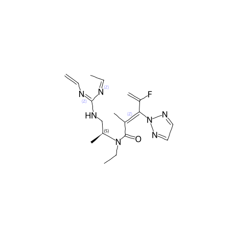 C=C/N=C(\N=C/C)NC[C@H](C)N(CC)C(=O)/C(C)=C(/C(=C)F)n1nccn1